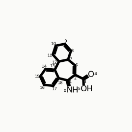 N=C1C(C(=O)O)=CC2C=CC=CC2c2ccccc21